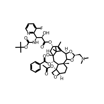 CC(=O)O[C@@]12CO[C@@H]1CC[C@@]1(C)C3O[C@H](CN(C)C)O[C@@H]3C3=C(C)[C@@H](OC(=O)[C@H](O)[C@@H](NC(=O)OC(C)(C)C)c4ncccc4F)C[C@@](O)([C@@H](OC(=O)c4ccccc4)C12)C3(C)C